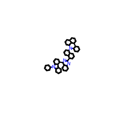 c1ccc(-n2c3ccccc3c3c(-c4nc(-c5cccc6c(N7c8ccccc8-c8cccc9cccc7c89)cccc56)nc5ccccc45)cccc32)cc1